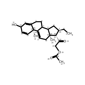 CC[C@@H]1CC2C3CCC4=CC(O)C=C[C@]4(C)C3=CC[C@]2(C)[C@H]1C(=O)COC(C)=O